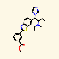 CCC(C(c1ccc2nc(-c3cccc(C(=O)OC)c3)sc2c1)n1ccnc1)N(C)CC